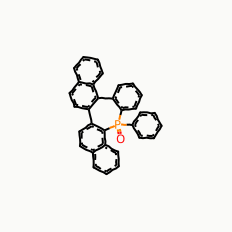 O=P1(c2ccccc2)c2ccccc2-c2c(ccc3ccccc23)-c2ccc3ccccc3c21